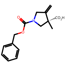 C=C1CN(C(=O)OCc2ccccc2)C[C@@]1(C)C(=O)O